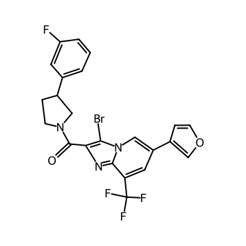 O=C(c1nc2c(C(F)(F)F)cc(-c3ccoc3)cn2c1Br)N1CCC(c2cccc(F)c2)C1